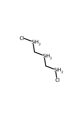 Cl[SiH2]C[SiH2]C[SiH2]Cl